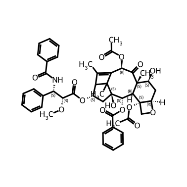 CO[C@@H](C(=O)O[C@H]1C[C@@]2(O)[C@@H](OC(=O)c3ccccc3)[C@@H]3[C@]4(OC(C)=O)CO[C@@H]4C[C@H](O)[C@@]3(C)C(=O)[C@H](OC(C)=O)C3=C(C)C1C32C)[C@@H](NC(=O)c1ccccc1)c1ccccc1